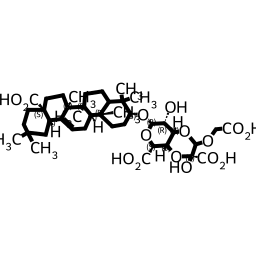 CC1(C)CC[C@]2(C(=O)O)CC[C@]3(C)C(=CC[C@@H]4[C@@]5(C)CC[C@H](O[C@@H]6O[C@H](C(=O)O)[C@H]7O[C@@](O)(C(=O)O)C(OCC(=O)O)O[C@@H]7[C@H]6O)C(C)(C)C5CC[C@]43C)[C@@H]2C1